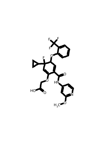 COc1cc(NC(=O)C2=CC(Oc3ccccc3C(F)(F)F)C(F)(C3CC3)C=C2OCC(=O)O)ccn1